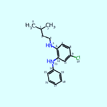 CC(C)CCNc1ccc(Cl)cc1Nc1ccccc1